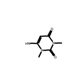 Cn1c([NH])cc(=O)n(C)c1=O